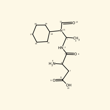 CC(NC(=O)C(N)CC(=O)O)N(C=O)C1CCCCC1